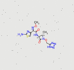 CO/N=C(\C(=O)N[C@@H]1C(=O)N(OCc2nnn[nH]2)[C@H]1C)c1csc(N)n1